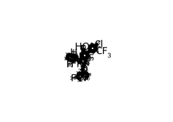 Oc1cc(Cl)c(C(F)(F)F)cc1-c1c(F)cc2c(N3C[C@H]4CC[C@@H](C3)N4)nc(OC[C@@]34CCCN3C[C@H](F)C4)nc2c1F